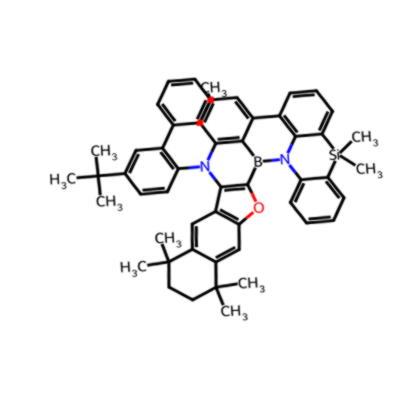 Cc1cc2c3c(c1)N(c1ccc(C(C)(C)C)cc1-c1ccccc1)c1c(oc4cc5c(cc14)C(C)(C)CCC5(C)C)B3N1c3ccccc3[Si](C)(C)c3cccc-2c31